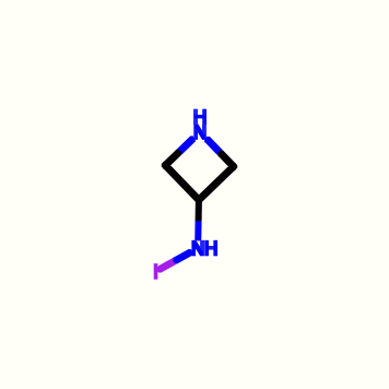 INC1CNC1